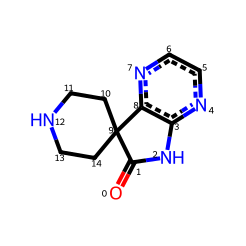 O=C1Nc2nccnc2C12CCNCC2